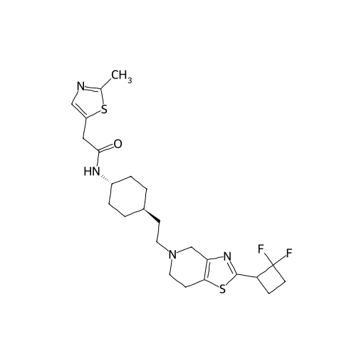 Cc1ncc(CC(=O)N[C@H]2CC[C@H](CCN3CCc4sc(C5CCC5(F)F)nc4C3)CC2)s1